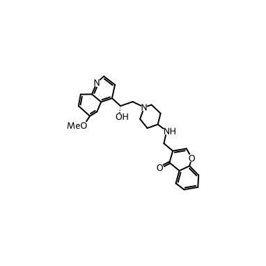 COc1ccc2nccc([C@@H](O)CN3CCC(NCc4coc5ccccc5c4=O)CC3)c2c1